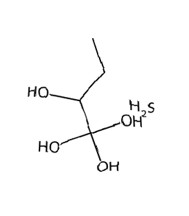 CCC(O)C(O)(O)O.S